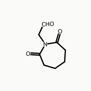 O=CCN1C(=O)CCCCC1=O